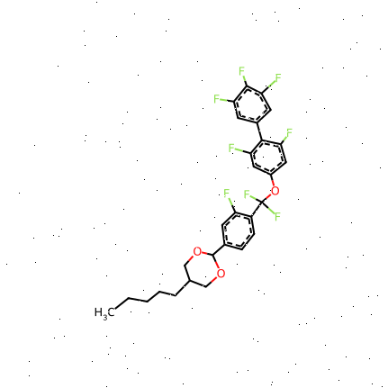 CCCCCC1COC(c2ccc(C(F)(F)Oc3cc(F)c(-c4cc(F)c(F)c(F)c4)c(F)c3)c(F)c2)OC1